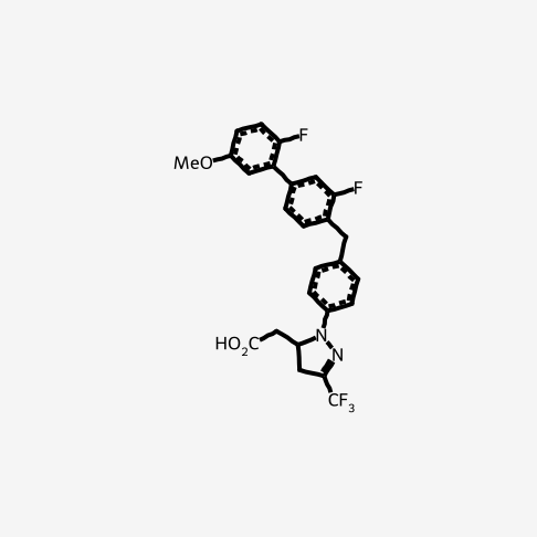 COc1ccc(F)c(-c2ccc(Cc3ccc(N4N=C(C(F)(F)F)CC4CC(=O)O)cc3)c(F)c2)c1